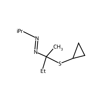 CCC(C)(N=NC(C)C)SC1CC1